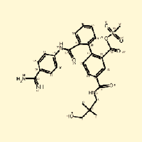 CC(C)(CO)CNC(=O)c1ccc(-c2ccccc2C(=O)Nc2ccc(C(=N)N)cc2)c(C(=O)OS(C)(=O)=O)c1